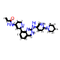 C=CC(=O)Nc1ccnc(-c2cccc3cnc(Nc4ccc(N5CCCCC5)nc4)nc23)c1